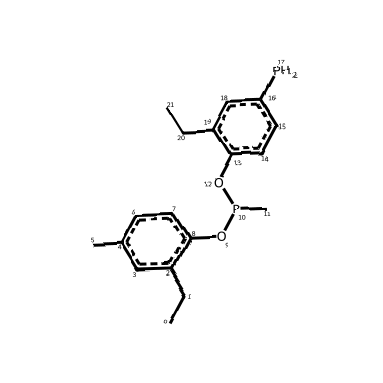 CCc1cc(C)ccc1OP(C)Oc1ccc(P)cc1CC